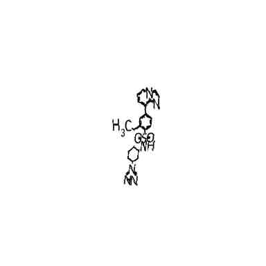 CCc1cc(-c2cccn3ccnc23)ccc1S(=O)(=O)N[C@H]1CCC[C@@H](n2cnnc2)C1